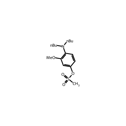 CCCCN(CCCC)c1ccc(OS(C)(=O)=O)cc1OC